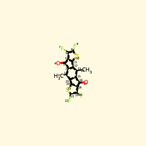 Cc1c2c(=O)c3c(F)c(F)sc3c2c(C)c2c(=O)c3c(F)c(F)sc3c12